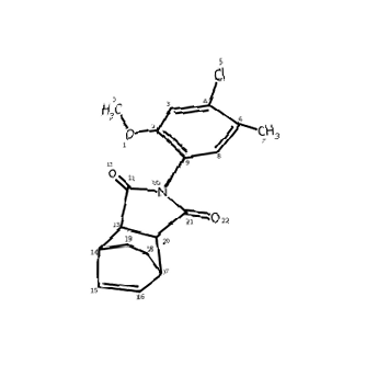 COc1cc(Cl)c(C)cc1N1C(=O)C2C3C=CC(CC3)C2C1=O